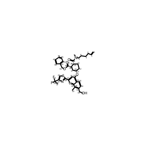 C=CCCCCN(C)C(=O)[C@@H]1CC[C@H](Oc2cc(-c3nc(C(F)(F)F)cs3)nc3c(C)c(CO)ccc23)C[C@H]1C(=O)OCc1ccccc1